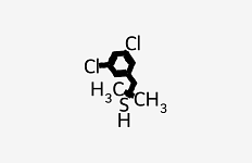 CC(C)(S)Cc1cc(Cl)cc(Cl)c1